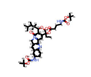 CCC1(OC(=O)CCCNC(=O)OC(C)(C)C)C(=O)OC([Si](C)(C)C(C)C(C)C)c2c1cc1n(c2=O)Cc2cc3cc(NC(=O)OC(C)(C)C)ccc3nc2-1